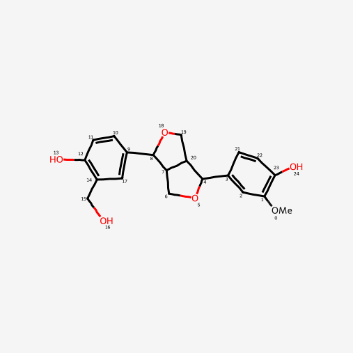 COc1cc(C2OCC3C(c4ccc(O)c(CO)c4)OCC23)ccc1O